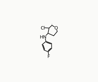 Fc1ccc(NC2CCO[CH]C2Cl)cc1